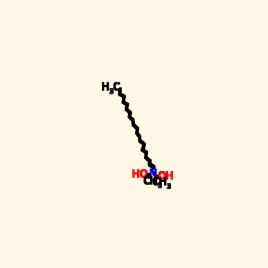 CCCCCCCCCCCCCCCCCCCCC=CN(C(C)O)C(C)O